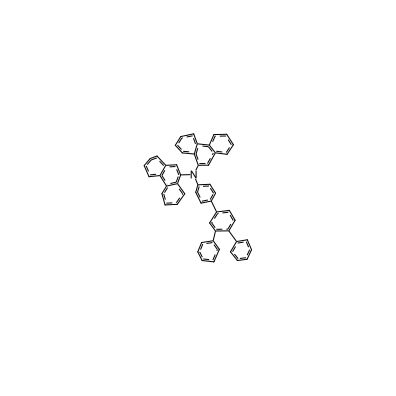 c1ccc(-c2ccc(-c3ccc(N(c4cc5ccccc5c5ccccc45)c4cc5ccccc5c5ccccc45)cc3)cc2-c2ccccc2)cc1